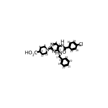 O=C(Nc1cnc(N2CCC(C(=O)O)CC2)nc1NCc1ccccc1)c1ccc(Cl)cc1